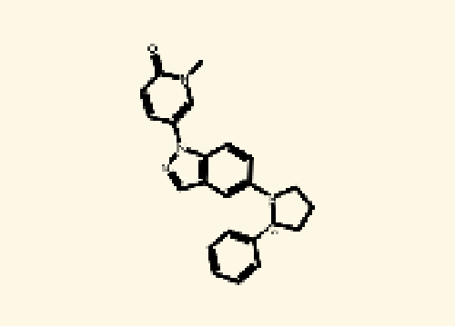 Cn1cc(-n2ncc3cc(N4CCC[C@H]4c4ccccc4)ccc32)ccc1=O